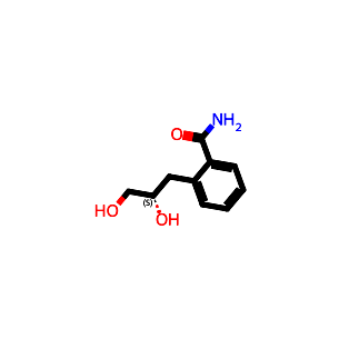 NC(=O)c1ccccc1C[C@H](O)CO